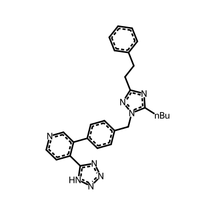 CCCCc1nc(CCc2ccccc2)nn1Cc1ccc(-c2cnccc2-c2nnn[nH]2)cc1